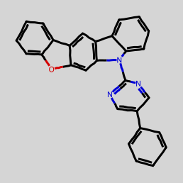 c1ccc(-c2cnc(-n3c4ccccc4c4cc5c(cc43)oc3ccccc35)nc2)cc1